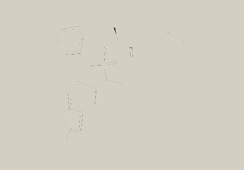 C[C@H](NP(=O)(Oc1ccccc1)C(F)c1ccc2sc(C(=O)O)cc2c1)C(=O)OCCC(F)(F)F